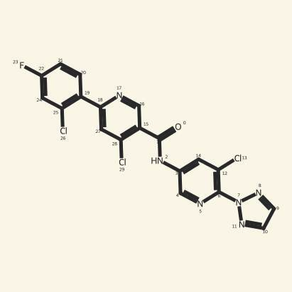 O=C(Nc1cnc(-n2nccn2)c(Cl)c1)c1cnc(-c2ccc(F)cc2Cl)cc1Cl